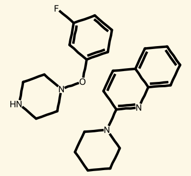 Fc1cccc(ON2CCNCC2)c1.c1ccc2nc(N3CCCCC3)ccc2c1